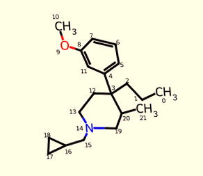 CCCC1(c2cccc(OC)c2)CCN(CC2CC2)CC1C